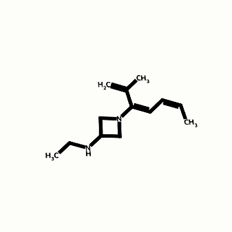 C=C(C)/C(=C\C=C/C)N1CC(NCC)C1